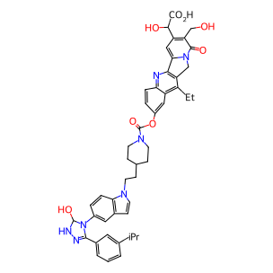 CCc1c2c(nc3ccc(OC(=O)N4CCC(CCn5ccc6cc(N7C(c8cccc(C(C)C)c8)=NNC7O)ccc65)CC4)cc13)-c1cc(C(O)C(=O)O)c(CO)c(=O)n1C2